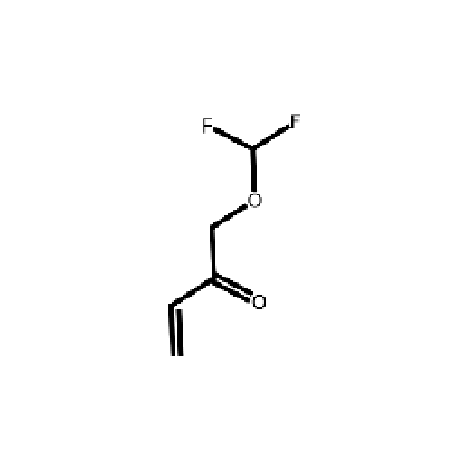 C=CC(=O)COC(F)F